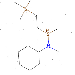 CN(C1CCCCC1)[SH](C)CCS(C)(C)C